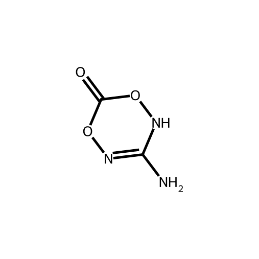 NC1=NOC(=O)ON1